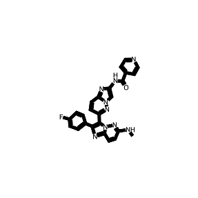 CNc1ccc2nc(-c3ccc(F)cc3)c(-c3ccc4nc(NC(=O)c5ccncc5)cn4n3)n2n1